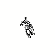 C#CC(C)Nc1cccc2c1C(=O)N(C1CCC(=O)NC1=O)C2=O